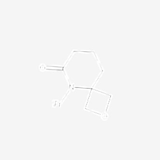 CC(C)N1C(=O)CCCC12COC2